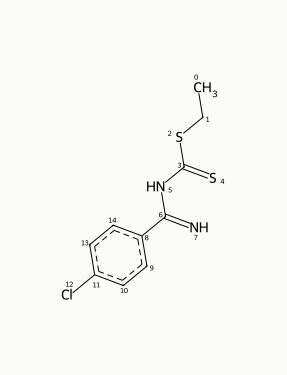 CCSC(=S)NC(=N)c1ccc(Cl)cc1